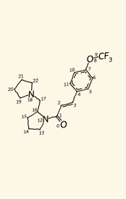 O=C(C=Cc1ccc(OC(F)(F)F)cc1)N1CCCC1CN1CCCC1